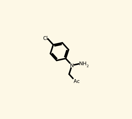 CC(=O)CN(N)c1ccc(Cl)cc1